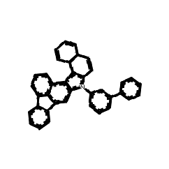 C1=CC2C=Cc3c(c4c5cccc6c5c(cc4n3-c3cccc(-c4ccccc4)c3)-c3ccccc3-6)C2C=C1